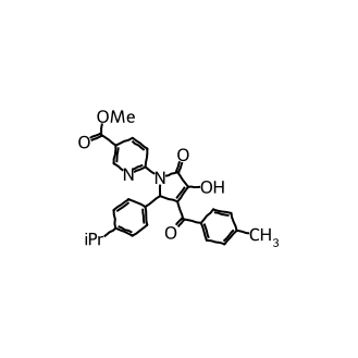 COC(=O)c1ccc(N2C(=O)C(O)=C(C(=O)c3ccc(C)cc3)C2c2ccc(C(C)C)cc2)nc1